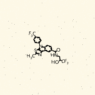 Cc1nc2c3cc(C(=O)NCC(O)C(F)(F)F)ccc3n(-c3ccc(C(F)(F)F)cc3)c2s1